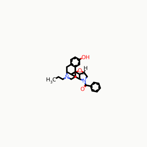 CCCN1CCC23c4cc(O)ccc4CC1C21CCC2C3[C@@H](CN2C(=O)c2ccccc2)O1